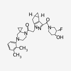 Cc1cccc(N2CCN(C(=O)Cn3nc(C(=O)N4CC[C@H](O)[C@H](F)C4)c4c3C[C@H]3C[C@@H]43)C3(CC3)C2)c1C